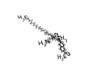 CCCCCCCCCCCCCCCCCCN(CCCN)C(=O)CN(C)c1ccc2cc(C(C)=O)ccc2c1